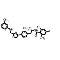 CCc1cc(F)cc(C)c1C(=O)NC(Cc1ccc(-c2coc(CNc3cc(C)ccn3)n2)cc1)C(=O)O